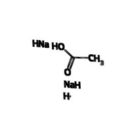 CC(=O)O.[H].[NaH].[NaH]